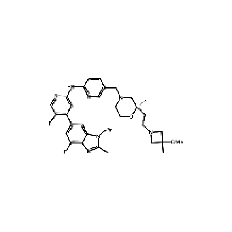 COC1(C)CN(CC[C@]2(C)CN(Cc3ccc(Nc4ncc(F)c(-c5cc(F)c6nc(C)n(C(C)C)c6c5)n4)nc3)CCO2)C1